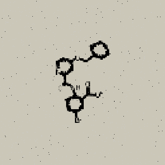 COC(=O)c1cc(Br)ccc1NC(=O)c1cc(OCc2ccccc2)ccn1